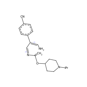 C=C(/N=C\C(=C/N)c1ccc(C#N)cc1)OC1CCN(C(C)C)CC1